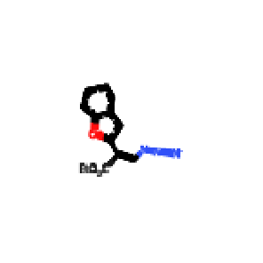 CCOC(=O)/C(=C/N=[N+]=[N-])c1cc2ccccc2o1